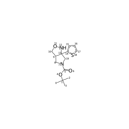 CC(C)(C)OC(=O)N1CC2CONC2(c2cccs2)C1